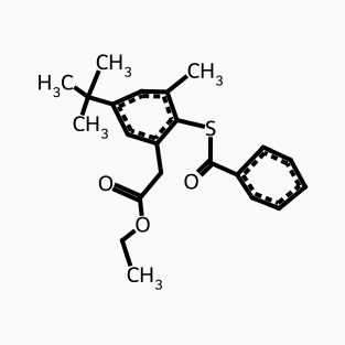 CCOC(=O)Cc1cc(C(C)(C)C)cc(C)c1SC(=O)c1ccccc1